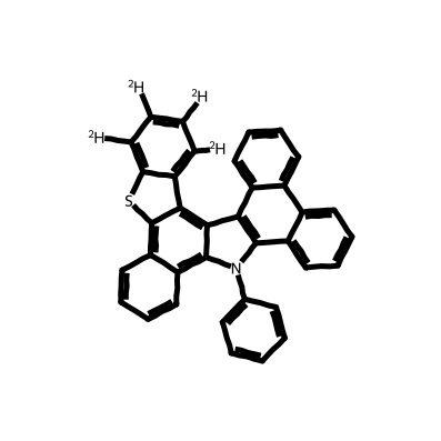 [2H]c1c([2H])c([2H])c2c(sc3c4ccccc4c4c(c32)c2c3ccccc3c3ccccc3c2n4-c2ccccc2)c1[2H]